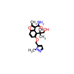 Cc1oc2ccc(OCc3ccnn3C)c(C(C)(C)CO)c2c1C(N)=O